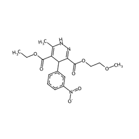 CCOC(=O)C1=C(C)NN=C(C(=O)OCCOC)C1c1cccc([N+](=O)[O-])c1